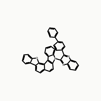 c1ccc(-c2ccc(-c3nc4ccccc4nc3-n3c4ccccc4c4c5c(ccc6c7ccccc7oc65)ccc43)cc2)cc1